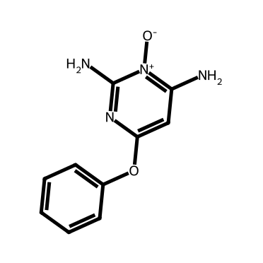 Nc1cc(Oc2ccccc2)nc(N)[n+]1[O-]